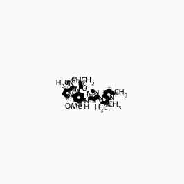 C=CC(=O)Nc1cc(Nc2cc(N3CC(C)(C)c4nc(C)ccc43)ncn2)c(OC)cc1N1CCCC1CN(C)C